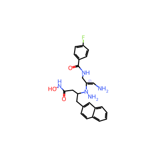 N/C=C(/CNC(=O)c1ccc(F)cc1)N(N)C(CC(=O)NO)Cc1ccc2ccccc2c1